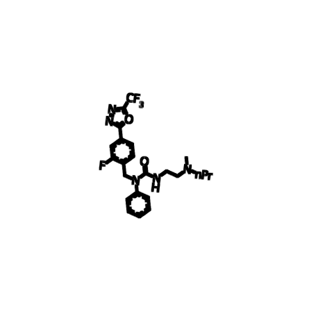 CCCN(C)CCNC(=O)N(Cc1ccc(-c2nnc(C(F)(F)F)o2)cc1F)c1ccccc1